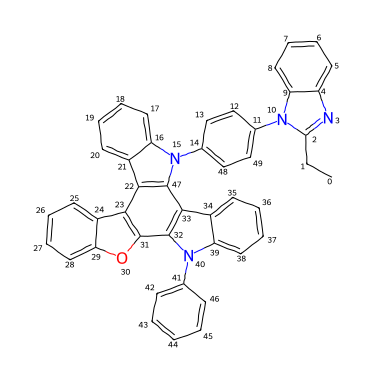 CCc1nc2ccccc2n1-c1ccc(-n2c3ccccc3c3c4c5ccccc5oc4c4c(c5ccccc5n4-c4ccccc4)c32)cc1